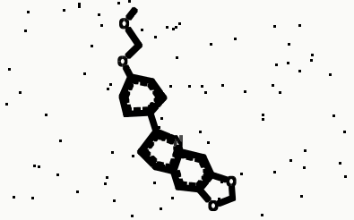 COCOc1ccc(-c2ccc3cc4c(cc3n2)OCO4)cc1